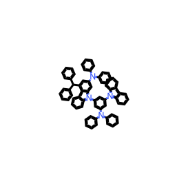 c1ccc(C(c2ccccc2)c2cc(N(c3ccccc3)c3ccccc3)cc3c2c2ccccc2n3-c2cc(N(c3ccccc3)c3ccccc3)cc(-n3c4ccccc4c4ccccc43)c2)cc1